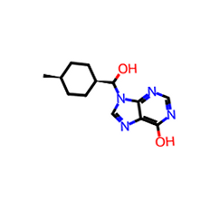 C[C@H]1CC[C@@H](C(O)n2cnc3c(O)ncnc32)CC1